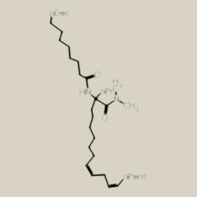 CCCCC/C=C\C/C=C\CCCCCCC(CCC)(NC(=O)CCCCCCCCCCCCCCCCC)C(=O)N(C)C